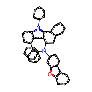 c1ccc(-c2cccc3c2c2c(N(c4ccccc4)c4ccc5c(c4)oc4ccccc45)cc4ccccc4c2n3-c2ccccc2)cc1